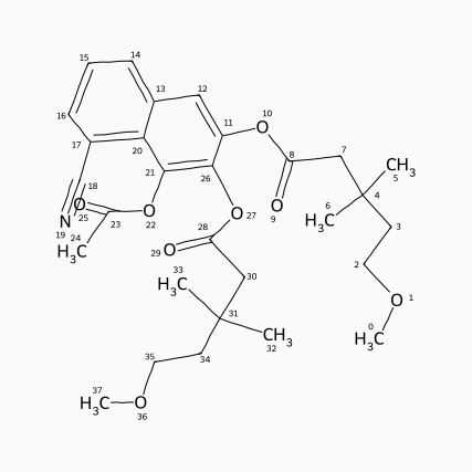 COCCC(C)(C)CC(=O)Oc1cc2cccc(C#N)c2c(OC(C)=O)c1OC(=O)CC(C)(C)CCOC